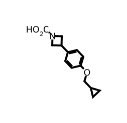 O=C(O)N1CC(c2ccc(OCC3CC3)cc2)C1